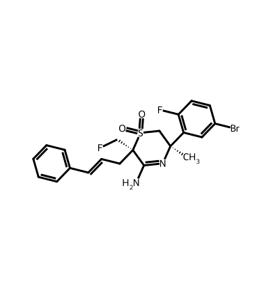 C[C@@]1(c2cc(Br)ccc2F)CS(=O)(=O)[C@](CF)(C/C=C/c2ccccc2)C(N)=N1